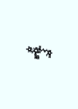 Cc1[nH]cnc1CSCCNc1ncc(Cc2cccs2)c(=O)[nH]1.Cl.Cl